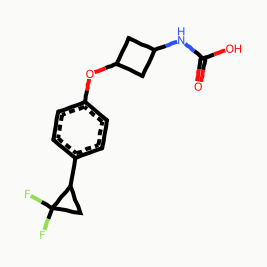 O=C(O)NC1CC(Oc2ccc(C3CC3(F)F)cc2)C1